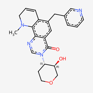 CN1CC=Cc2c(Cc3cccnc3)cc3c(=O)n([C@H]4CCOC[C@@H]4O)cnc3c21